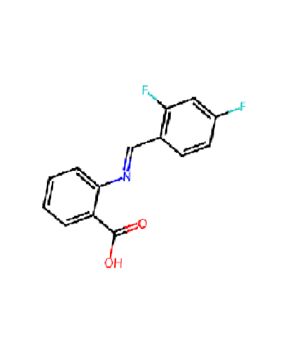 O=C(O)c1ccccc1N=Cc1ccc(F)cc1F